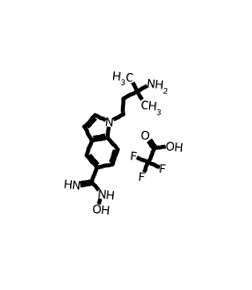 CC(C)(N)CCn1ccc2cc(C(=N)NO)ccc21.O=C(O)C(F)(F)F